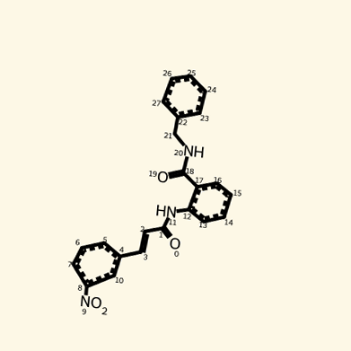 O=C(/C=C/c1cccc([N+](=O)[O-])c1)Nc1ccccc1C(=O)NCc1ccccc1